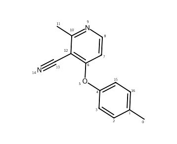 Cc1ccc(Oc2ccnc(C)c2C#N)cc1